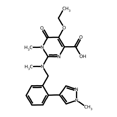 CCOc1c(C(=O)O)nc(N(C)Cc2ccccc2-c2cnn(C)c2)n(C)c1=O